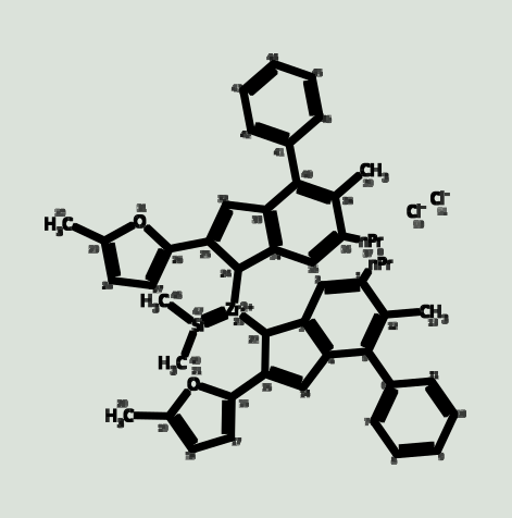 CCCc1cc2c(c(-c3ccccc3)c1C)C=C(c1ccc(C)o1)[CH]2[Zr+2]([CH]1C(c2ccc(C)o2)=Cc2c1cc(CCC)c(C)c2-c1ccccc1)=[Si](C)C.[Cl-].[Cl-]